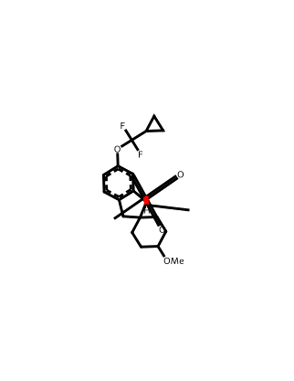 COC1CCC2(CC1)Cc1ccc(OC(F)(F)C3CC3)cc1C21NC(=O)N(C)C1=O